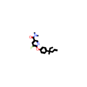 C=CCC(C)(CC)c1ccc(Oc2ncc(C(=O)N(C)C)cc2F)cc1